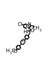 CCc1nc2cc(Cl)ccn2c1C(=O)NCc1ccc(N2CCC(c3ccc(OC)cc3)CC2)cc1